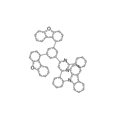 c1ccc(-c2nc(-c3cc(-c4cccc5oc6ccccc6c45)cc(-c4cccc5oc6ccccc6c45)c3)cc(-c3ccccc3-n3c4ccccc4c4ccccc43)n2)cc1